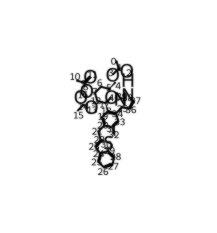 CC(=O)OC[C@@H]1C[C@H](OC(C)=O)[C@@H](OC(C)=O)[C@H](c2cc(Cc3cc4ccccc4s3)c(C)cc2-c2cc[nH]n2)O1